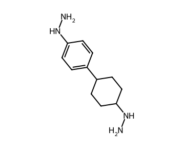 NNc1ccc(C2CCC(NN)CC2)cc1